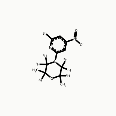 [2H]C1(C)OC([2H])(C)C([2H])([2H])N(c2cc([N+](=O)[O-])cc(Br)n2)C1([2H])[2H]